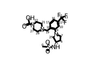 CS(=O)(=O)N[C@H]1CCN(c2cc(C(F)(F)F)ccc2CN2CCN(C(=O)O)CC2)C1